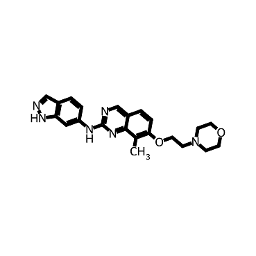 Cc1c(OCCN2CCOCC2)ccc2cnc(Nc3ccc4cn[nH]c4c3)nc12